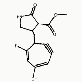 COC(=O)[C@@H]1C(=O)NCC1C1C#CC=C(O)C=C1F